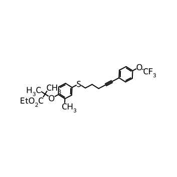 CCOC(=O)C(C)(C)Oc1ccc(SCCCC#Cc2ccc(OC(F)(F)F)cc2)cc1C